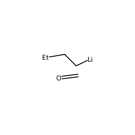 C=O.[Li][CH2]CCC